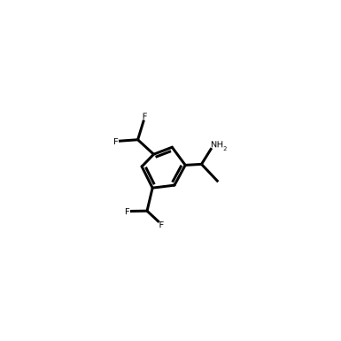 CC(N)c1cc(C(F)F)cc(C(F)F)c1